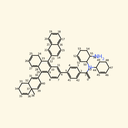 C=C(c1ccc(-c2ccc3c(c2)=C(c2ccc4ccccc4c2)C2CC=CC=C2C=3C2=CC3CCC=CC3(C)C=C2)cc1)N(C1C=CCCC1)C1C=CCCC1N